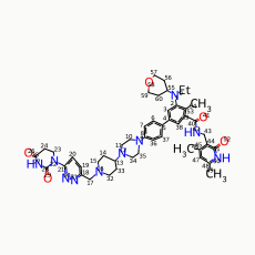 CCN(c1cc(-c2ccc(N3CCN(C4CCN(Cc5ccc(N6CCC(=O)NC6=O)nn5)CC4)CC3)cc2)cc(C(=O)NCc2c(C)cc(C)[nH]c2=O)c1C)C1CCOCC1